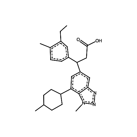 CCc1cc(C(CC(=O)O)c2cc(C3CCC(C)CC3)c3c(c2)nnn3C)ccc1C